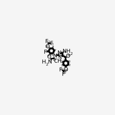 CC(C(N)=O)N(c1ccc(OC(F)F)c(F)c1)c1nc(N)c(C(=O)c2ccc(OC(F)F)cc2)s1